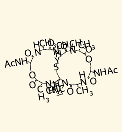 CC(=O)N[C@@H]1COC(=O)[C@H](C)N(C)C(=O)[C@@H]2[Y][S]C[C@@H](C(=O)N(C)[C@@H](C)C(=O)OC[C@@H](NC(C)=O)C(=O)N[C@@H](C)C(=O)N2C)N(C)C(=O)[C@H](C)NC1=O